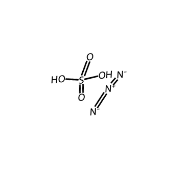 O=S(=O)(O)O.[N-]=[N+]=[N-]